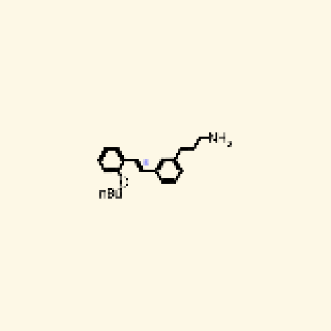 CCCCOc1ccccc1/C=C/c1cccc(CCCN)c1